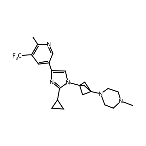 Cc1ncc(-c2cn(C34CC(N5CCN(C)CC5)(C3)C4)c(C3CC3)n2)cc1C(F)(F)F